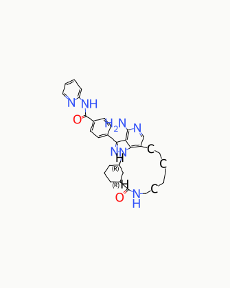 Nc1ncc2c3c1c(-c1ccc(C(=O)Nc4ccccn4)cc1)nn3[C@@H]1CCC[C@H](C1)C(=O)NCCCCCCC2